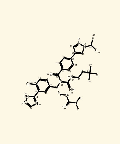 CN(C)C(=O)OC[C@H](c1ccc(Cl)c(-c2ncn[nH]2)c1)N(C(=N)NCCC(C)(C)C)C(=O)c1ccc(-c2cnn(C(F)F)c2)cc1